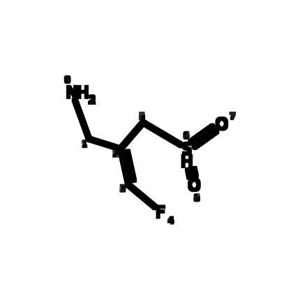 NCC(=CF)C[SH](=O)=O